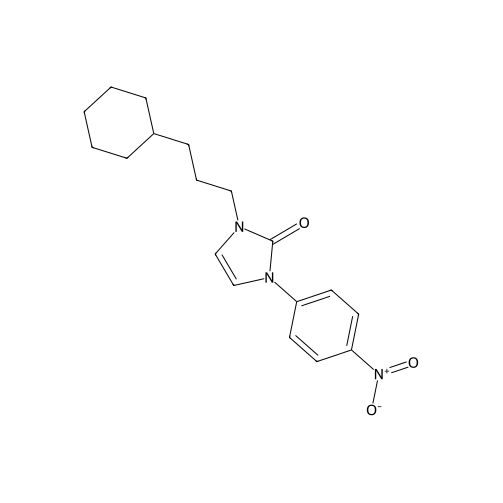 O=c1n(CCCC2CCCCC2)ccn1-c1ccc([N+](=O)[O-])cc1